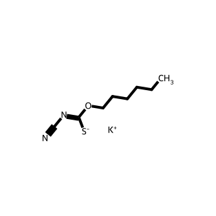 CCCCCCOC([S-])=NC#N.[K+]